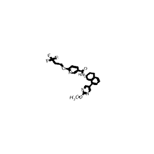 COc1ncc(-c2cccc3c2C[C@H](NC(=O)c2ccc(OCCC(F)(F)F)nc2)CC3)cn1